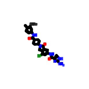 COc1cc(NC(=O)C2CCC(N3Cc4c(Br)cc(NC(=O)c5c[nH]c(N)n5)cc4C3=O)CC2)ccc1C